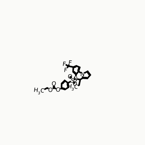 CCOC(=O)Oc1ccc(S(=O)(=O)N2c3cc(C(F)(F)F)ccc3-n3cccc3C2CC)cc1